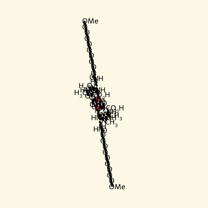 COCCOCCOCCOCCOCCOCCOCCOCCOCCOCC(=O)NCCCC[C@H](NC(=O)CCCNC(=O)C(C(C(=O)NCCCC(=O)N[C@@H](CCCCNC(=O)COCCOCCOCCOCCOCCOCCOCCOCCOCCOC)C(=O)N[C@@H](C)C(=O)N[C@@H](C)C(=O)N[C@@H](C)C(=O)O)N1C(=O)C=CC1=O)N1C(=O)C=CC1=O)C(=O)N[C@@H](C)C(=O)N[C@@H](C)C(=O)N[C@@H](C)C(=O)O